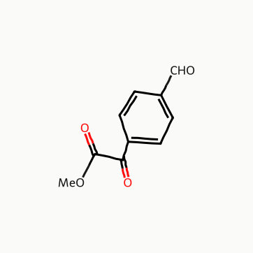 COC(=O)C(=O)c1ccc(C=O)cc1